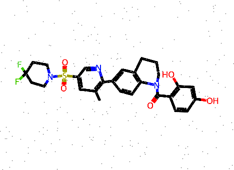 Cc1cc(S(=O)(=O)N2CCC(F)(F)CC2)cnc1-c1ccc2c(c1)CCCN2C(=O)c1ccc(O)cc1O